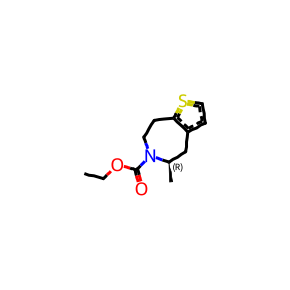 CCOC(=O)N1CCc2sccc2C[C@H]1C